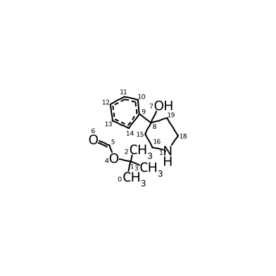 CC(C)(C)OC=O.OC1(c2ccccc2)CCNCC1